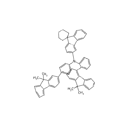 CC1(C)c2ccccc2-c2ccc(-c3ccc(N(c4ccc5c(c4)-c4ccccc4C54CCCCC4)c4ccccc4-c4cccc5c4-c4ccccc4C5(C)C)cc3)cc21